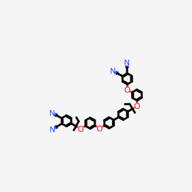 CCC(C)(Oc1cccc(Oc2ccc(C#N)c(C#N)c2)c1)c1ccc(-c2ccc(Oc3cccc(OC(C)(CC)c4ccc(C#N)c(C#N)c4)c3)cc2)cc1